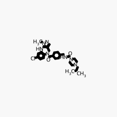 CC(C)CN1CCN(C(=O)NCC2CCC(C(=O)N3Cc4cnn(C)c4Nc4cc(Cl)ccc43)CC2)CC1